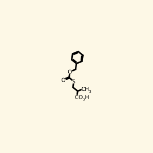 CC(CSC(=O)OCc1ccccc1)C(=O)O